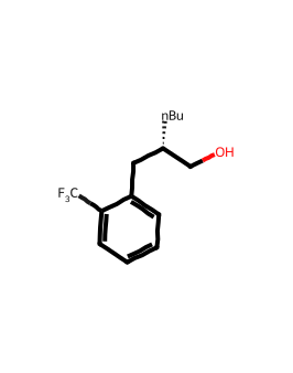 CCCC[C@H](CO)Cc1ccccc1C(F)(F)F